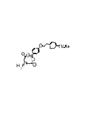 COc1ccc(CCOc2ccc(B3OC(=O)CN(C)CC(=O)O3)cc2)cc1